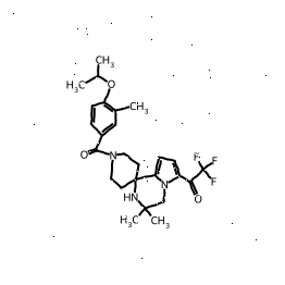 Cc1cc(C(=O)N2CCC3(CC2)NC(C)(C)Cn2c(C(=O)C(F)(F)F)ccc23)ccc1OC(C)C